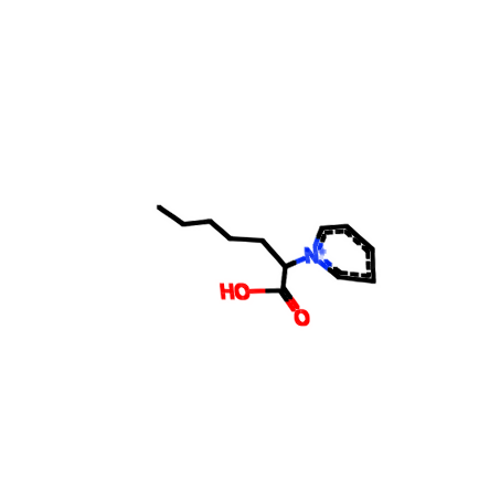 CCCCCC(C(=O)O)[n+]1ccccc1